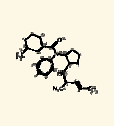 CC=CC(C)NC1CCCC1N(C(=O)C1CCCC(C(F)(F)F)C1)c1ccccc1